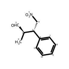 C[C@@H](C=O)[C@H](C[N+](=O)[O-])c1ccccc1